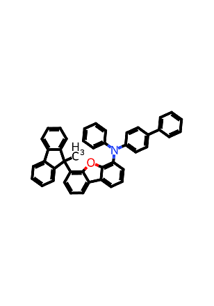 CC1(c2cccc3c2oc2c(N(c4ccccc4)c4ccc(-c5ccccc5)cc4)cccc23)c2ccccc2-c2ccccc21